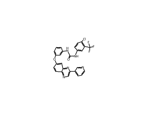 O=C(Nc1cccc(Oc2ccc3ncc(-c4cccnc4)nc3c2)c1)Nc1ccc(Cl)c(C(F)(F)F)c1